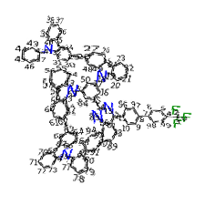 FC(F)(F)c1ccc(-c2ccc(-c3nc(-c4cc(-n5c6ccccc6c6ccc(-c7ccc8c(c7)c7ccccc7n8-c7ccccc7)cc65)cc(-n5c6ccccc6c6ccc(-c7ccc8c(c7)c7ccccc7n8-c7ccccc7)cc65)c4)nc4c3ccc3ccccc34)cc2)cc1